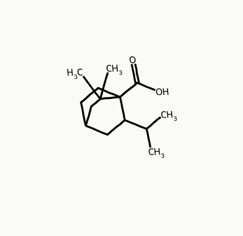 CC(C)C1CC2CCC1(C(=O)O)C(C)(C)C2